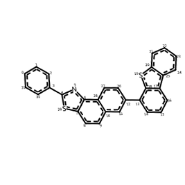 c1ccc(-c2nc3c(ccc4cc(-c5cccc6c5sc5ccccc56)ccc43)s2)cc1